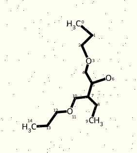 CCCOCC([O])C(CC)COCCC